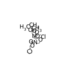 CC(C)(C)OC(=O)CN(C[C@H]1COCCN1C(=O)OCc1ccccc1)C(=O)OCCl